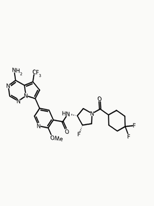 COc1ncc(-c2cc(C(F)(F)F)c3c(N)ncnn23)cc1C(=O)N[C@@H]1CN(C(=O)C2CCC(F)(F)CC2)C[C@@H]1F